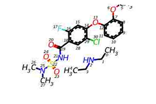 CCNCC.COc1ccccc1Oc1cc(F)c(C(=O)NS(=O)(=O)N(C)C)cc1Cl